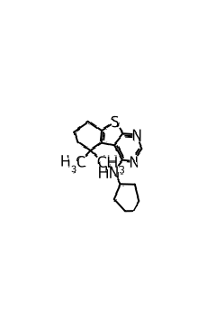 CC1(C)CCCc2sc3ncnc(NC4CCCCC4)c3c21